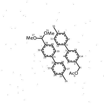 CC(=O)OCc1ccc(-c2ccc(C)cc2)cc1.COC(OC)c1ccc(-c2ccc(C)cc2)cc1